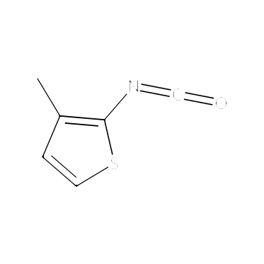 Cc1ccsc1N=C=O